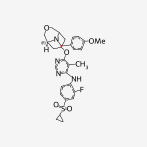 COc1ccc(CN2C3COC[C@H]2CC(Oc2ncnc(Nc4ccc(S(=O)(=O)C5CC5)cc4F)c2C)C3)cc1